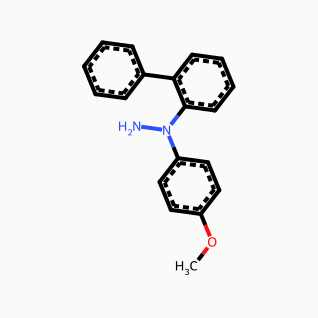 COc1ccc(N(N)c2ccccc2-c2ccccc2)cc1